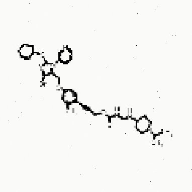 Cc1cc(OCc2c(Br)nc(SC3C=CCCC3)n2-c2cccnc2)ccc1C#CCOC(=O)NCNC1CCN(C(C)C)CC1